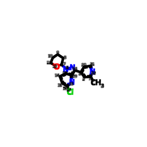 Cc1cc(-c2nn(C3CCCCO3)c3ccc(Cl)nc23)ccn1